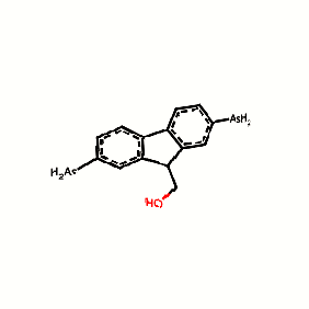 OCC1c2cc([AsH2])ccc2-c2ccc([AsH2])cc21